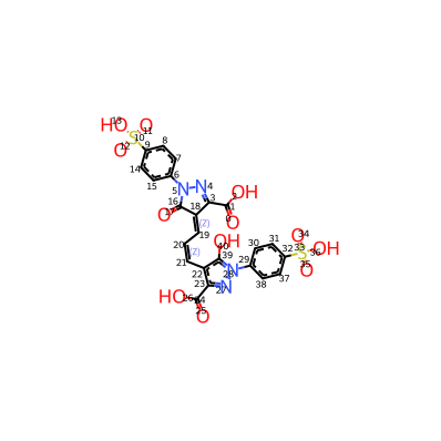 O=C(O)C1=NN(c2ccc(S(=O)(=O)O)cc2)C(=O)/C1=C\C=C/c1c(C(=O)O)nn(-c2ccc(S(=O)(=O)O)cc2)c1O